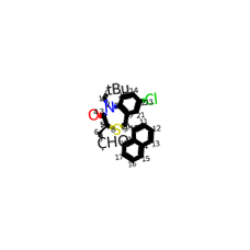 CC(C)(C)CN1C(=O)[C@H](C[C]=O)S[C@@H](c2cccc3ccccc23)c2cc(Cl)ccc21